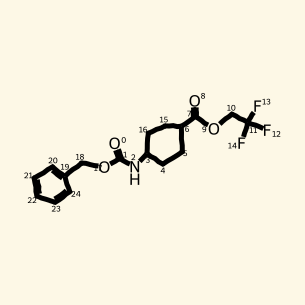 O=C(NC1CCC(C(=O)OCC(F)(F)F)CC1)OCc1ccccc1